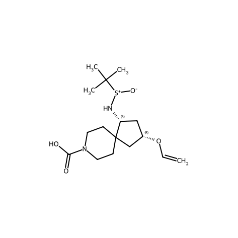 C=CO[C@H]1C[C@@H](N[S+]([O-])C(C)(C)C)C2(CCN(C(=O)O)CC2)C1